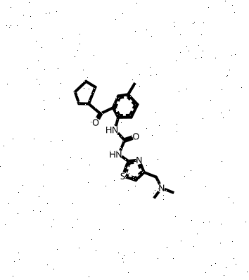 Cc1ccc(NC(=O)Nc2nc(CN(C)C)cs2)c(C(=O)C2CCCC2)c1